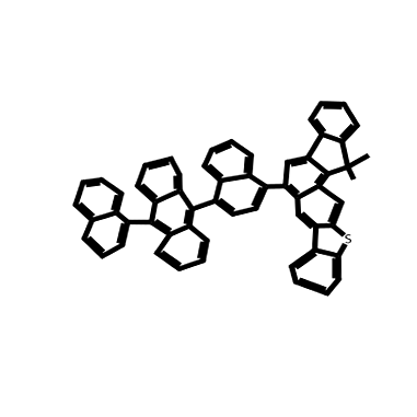 CC1(C)c2ccccc2-c2cc(-c3ccc(-c4c5ccccc5c(-c5cccc6ccccc56)c5ccccc45)c4ccccc34)c3cc4c(cc3c21)sc1ccccc14